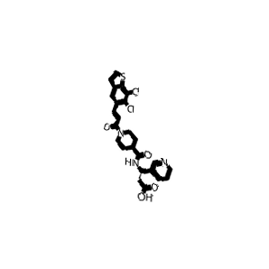 O=C(O)C[C@H](NC(=O)C1CCN(C(=O)/C=C/c2cc3ccsc3c(Cl)c2Cl)CC1)c1cccnc1